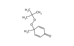 CC(C)(C)OOC1(C)C=CC(=O)C=C1